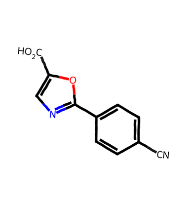 N#Cc1ccc(-c2ncc(C(=O)O)o2)cc1